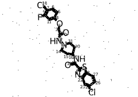 O=C(COc1ccc(Cl)c(F)c1)NN1CCC(NC(=O)c2nc3cc(Cl)ccc3s2)CC1